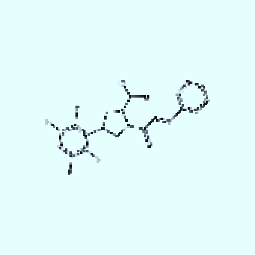 O=C(C=Cc1cccnc1)C1CC(c2c(F)c(F)cc(F)c2F)CN1C(=O)O